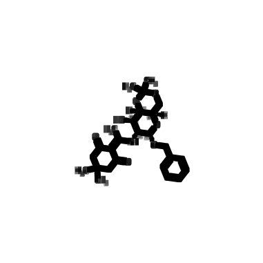 CC(N[C@H]1[C@@H](OCc2ccccc2)O[C@@H]2COC(C)(C)O[C@H]2[C@@H]1O)=C1C(=O)CC(C)(C)CC1=O